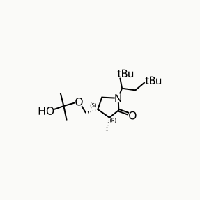 C[C@H]1C(=O)N(C(CC(C)(C)C)C(C)(C)C)C[C@H]1COC(C)(C)O